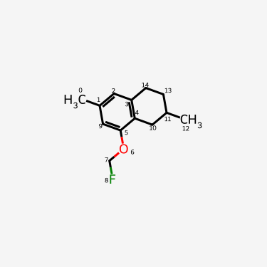 Cc1cc2c(c(OCF)c1)CC(C)CC2